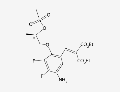 CCOC(=O)C(=Cc1cc(N)c(F)c(F)c1OC[C@@H](C)OS(C)(=O)=O)C(=O)OCC